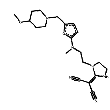 COC1CCN(Cc2ccc(N(C)CCN3CCNC3=C(C#N)C#N)o2)CC1